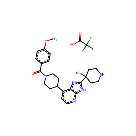 N#CC1(c2nc3c(C4CCN(C(=O)c5ccc(OC(F)(F)F)cc5)CC4)ccnc3[nH]2)CCNCC1.O=C(O)C(F)(F)F